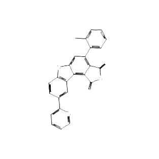 O=C1NC(=O)c2c1c(-c1ccccc1Cl)cc1[nH]c3ccc(-c4ccccn4)cc3c21